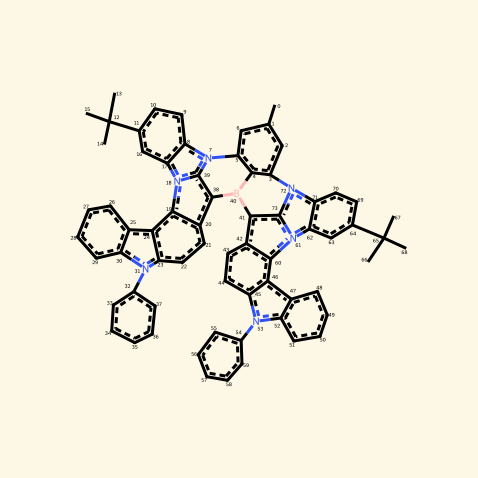 Cc1cc2c3c(c1)-n1c4ccc(C(C)(C)C)cc4n4c5c(ccc6c5c5ccccc5n6-c5ccccc5)c(c14)B3c1c3ccc4c(c5ccccc5n4-c4ccccc4)c3n3c4cc(C(C)(C)C)ccc4n-2c13